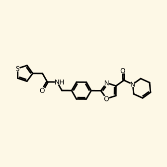 O=C(Cc1ccsc1)NCc1ccc(-c2nc(C(=O)N3CC=CCC3)co2)cc1